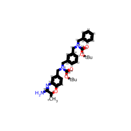 CC1Oc2ccc(CN(Cc3cccc(CN(Cc4ccccc4)C(=O)OC(C)(C)C)c3)C(=O)OC(C)(C)C)cc2N=C1N